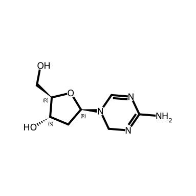 NC1=NCN([C@H]2C[C@H](O)[C@@H](CO)O2)C=N1